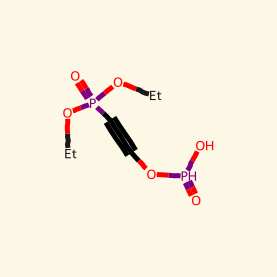 CCOP(=O)(C#CO[PH](=O)O)OCC